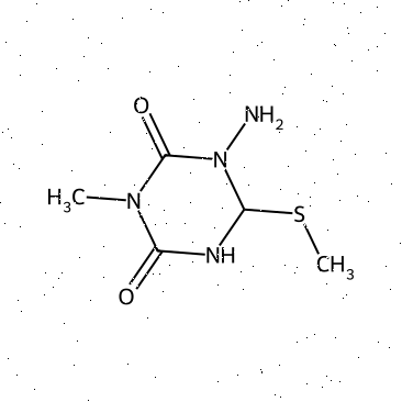 CSC1NC(=O)N(C)C(=O)N1N